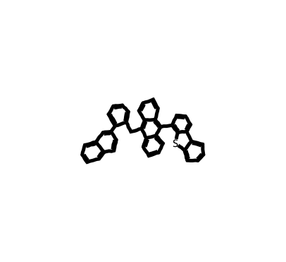 c1ccc(-c2ccc3ccccc3c2)c(Cc2c3ccccc3c(-c3cccc4c3sc3ccccc34)c3ccccc23)c1